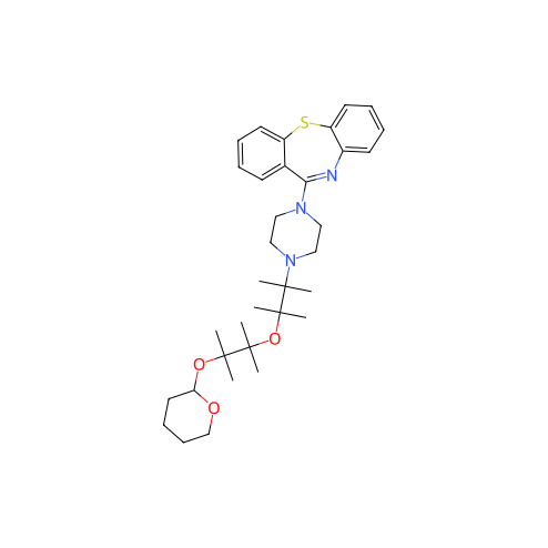 CC(C)(OC1CCCCO1)C(C)(C)OC(C)(C)C(C)(C)N1CCN(C2=Nc3ccccc3Sc3ccccc32)CC1